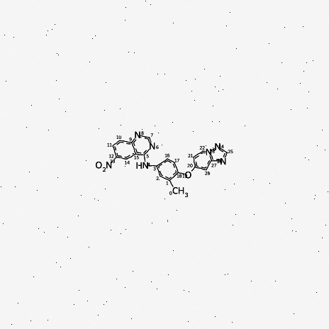 Cc1cc(Nc2ncnc3ccc([N+](=O)[O-])cc23)ccc1Oc1ccn2ncnc2c1